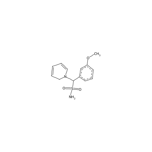 COc1cccc(C(N2C=CC=CC2)S(N)(=O)=O)c1